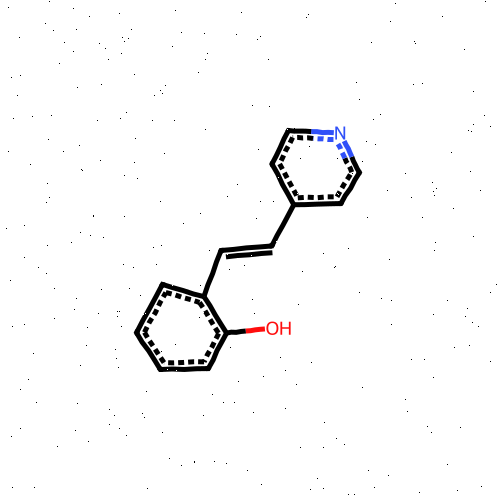 Oc1ccccc1C=Cc1ccncc1